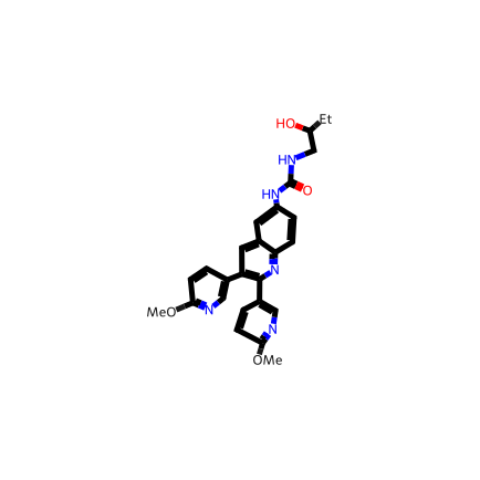 CCC(O)CNC(=O)Nc1ccc2nc(-c3ccc(OC)nc3)c(-c3ccc(OC)nc3)cc2c1